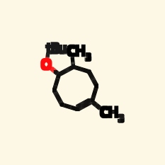 CC1=CCCC(OC(C)(C)C)C(C)CC1